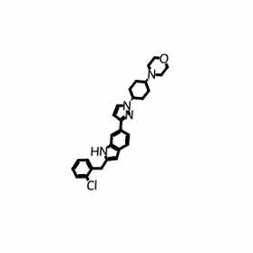 Clc1ccccc1Cc1cc2ccc(-c3ccn([C@H]4CC[C@H](N5CCOCC5)CC4)n3)cc2[nH]1